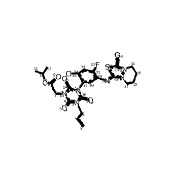 C=CCn1c(=O)n(CC(=O)OC(C)C)c(=O)n(-c2cc(N=c3sc(=O)n4n3CCCC4)c(F)cc2Cl)c1=O